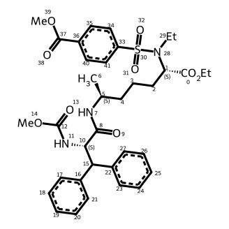 CCOC(=O)[C@H](CCC[C@H](C)NC(=O)[C@@H](NC(=O)OC)C(c1ccccc1)c1ccccc1)N(CC)S(=O)(=O)c1ccc(C(=O)OC)cc1